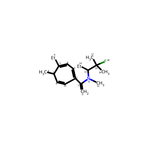 C=C(C1=CC=C(CC)C(C)C=C1)N(C)C(CC)C(C)(C)F